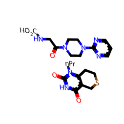 CCCn1c2c(c(=O)[nH]c1=O)CSCC2.O=C(O)NCC(=O)N1CCN(c2ncccn2)CC1